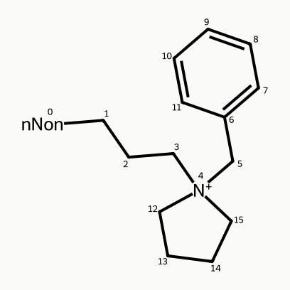 CCCCCCCCCCCC[N+]1(Cc2ccccc2)CCCC1